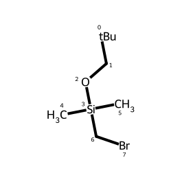 CC(C)(C)CO[Si](C)(C)CBr